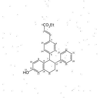 CCOC(=O)/C=C/c1ccc(C2c3ccc(O)cc3CCC2c2ccccc2)cc1